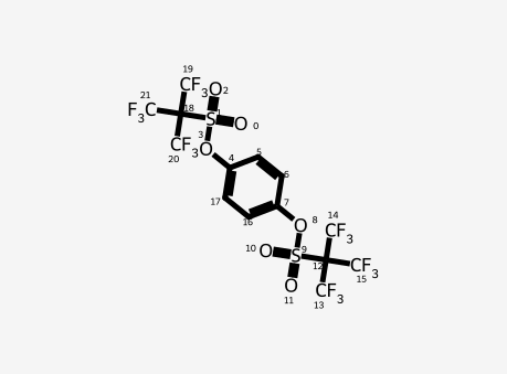 O=S(=O)(Oc1ccc(OS(=O)(=O)C(C(F)(F)F)(C(F)(F)F)C(F)(F)F)cc1)C(C(F)(F)F)(C(F)(F)F)C(F)(F)F